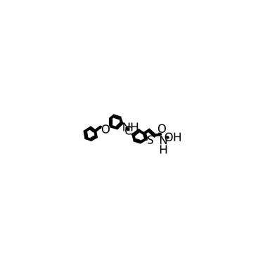 O=C(NO)c1cc2cc(CNc3cccc(OCc4ccccc4)c3)ccc2s1